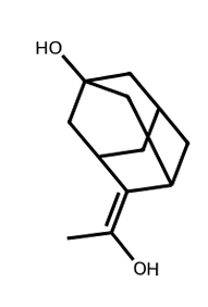 CC(O)=C1C2CC3CC1CC(O)(C3)C2